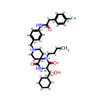 CCCCN1C(=O)[C@@H]([C@H](O)C2CCCCC2)NC(=O)C12CCN(Cc1ccc(NC(=O)Cc3ccc(F)cc3)cc1)CC2